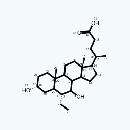 CC[C@H]1C(O)C2C(CC[C@@]3(C)C2CC[C@@H]3[C@H](C)CCC(=O)O)[C@@]2(C)CC[C@@H](O)CC12